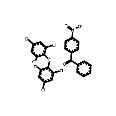 Clc1cc(Cl)c(Oc2c(Cl)cc(Cl)cc2Cl)c(Cl)c1.O=C(c1ccccc1)c1ccc([N+](=O)[O-])cc1